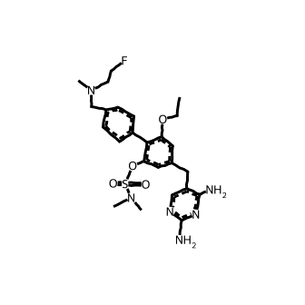 CCOc1cc(Cc2cnc(N)nc2N)cc(OS(=O)(=O)N(C)C)c1-c1ccc(CN(C)CCF)cc1